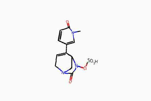 Cn1cc(C2=CCN3CC2N(OS(=O)(=O)O)C3=O)ccc1=O